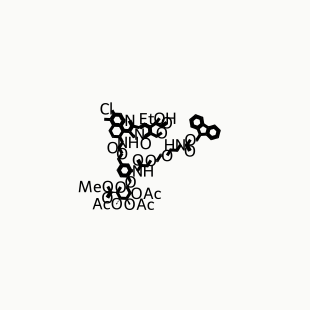 CC[C@@]1(O)C(=O)OCc2c1cc1n(c2=O)Cc2c-1nc1cc(Cl)c(C)c3c1c2C(NC(=O)OCc1ccc(O[C@@H]2O[C@H](C(=O)OC)[C@@H](OC(C)=O)[C@H](OC(C)=O)[C@H]2OC(C)=O)c(NC(=O)COCCOCCNC(=O)OCC2c4ccccc4-c4ccccc42)c1)CC3